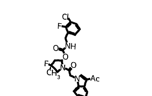 CC(=O)c1cn(CC(=O)N2C[C@](C)(F)C[C@@H]2OC(=O)NCc2cccc(Cl)c2F)c2ccccc12